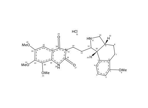 COc1cccc2c1CC[C@H]1CNC(CCn3c(=O)[nH]c4c(OC)c(OC)c(OC)cc4c3=O)[C@@H]21.Cl